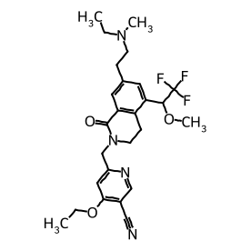 CCOc1cc(CN2CCc3c(cc(CCN(C)CC)cc3C(OC)C(F)(F)F)C2=O)ncc1C#N